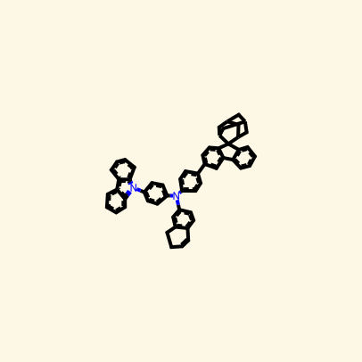 C1=Cc2ccc(N(c3ccc(-c4ccc5c(c4)-c4ccccc4C54C5CC6CC(C5)CC4C6)cc3)c3ccc(-n4c5ccccc5c5ccccc54)cc3)cc2CC1